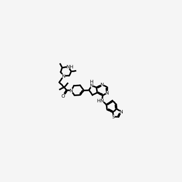 CC1CN(CC(C)(C)C(=O)N2CC=C(C3Cc4c(Nc5ccc6ncsc6c5)ncnc4N3)CC2)CC(C)N1